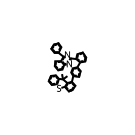 CC1(C)c2ccccc2Sc2cccc(-c3ccc(-c4ccccc4-c4nc(-c5ccccc5)c5ccccc5n4)cc3)c21